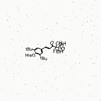 CCC(C)(C(=O)C=Cc1cc(C(C)(C)C)c(OC)c(C(C)(C)C)c1)P(=O)(O)O